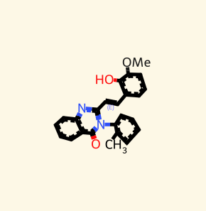 COc1cccc(/C=C/c2nc3ccccc3c(=O)n2-c2ccccc2C)c1O